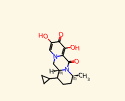 C[C@H]1CCC(C2CC2)[C@@H]2Cn3cc(O)c(=O)c(O)c3C(=O)N12